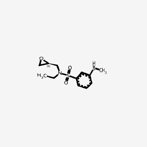 CBc1cccc(S(=O)(=O)N(CC)C[C@H]2CO2)c1